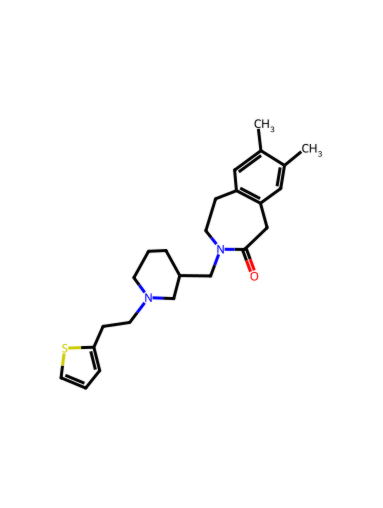 Cc1cc2c(cc1C)CC(=O)N(CC1CCCN(CCc3cccs3)C1)CC2